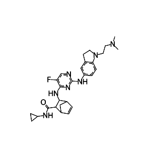 CN(C)CCN1CCc2cc(Nc3ncc(F)c(NC4C5C=CC(C5)C4C(=O)NC4CC4)n3)ccc21